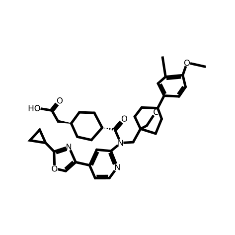 COc1ccc(C23CCC(CN(c4cc(-c5coc(C6CC6)n5)ccn4)C(=O)[C@H]4CC[C@H](CC(=O)O)CC4)(CC2)CC3)cc1C